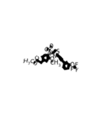 COC(=O)Cc1ccc(N(c2csc(C#Cc3cccc(OC(F)(F)F)c3)n2)[SH](=O)=O)c(OC)c1